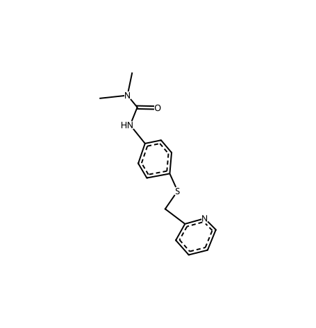 CN(C)C(=O)Nc1ccc(SCc2ccccn2)cc1